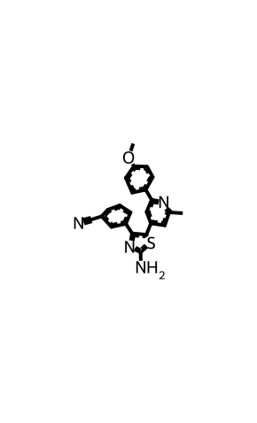 COc1ccc(-c2cc(-c3sc(N)nc3-c3cccc(C#N)c3)cc(C)n2)cc1